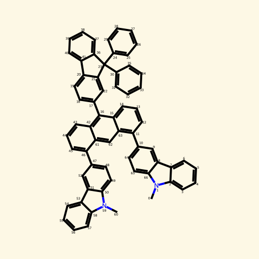 Cn1c2ccccc2c2cc(-c3cccc4c(-c5ccc6c(c5)C(c5ccccc5)(c5ccccc5)c5ccccc5-6)c5cccc(-c6ccc7c(c6)c6ccccc6n7C)c5cc34)ccc21